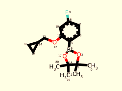 CC1(C)OB(c2ccc(F)cc2OCC2CC2)OC1(C)C